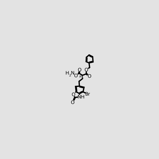 NOC(=O)[C@H](CCc1cc(Br)c2[nH]c(=O)oc2c1)C(=O)OCc1ccccc1